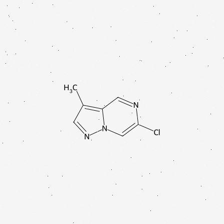 Cc1cnn2cc(Cl)ncc12